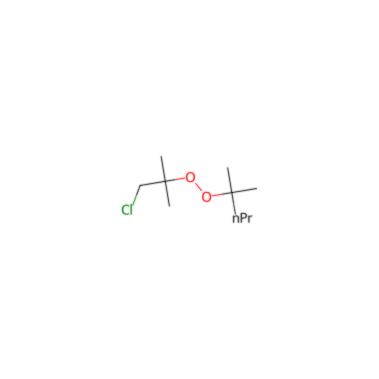 CCCC(C)(C)OOC(C)(C)CCl